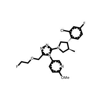 COc1ccc(-n2c(COCCF)nnc2N2C[C@H](c3ccc(F)cc3Cl)[C@@H](C)C2)cn1